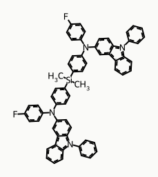 C[Si](C)(c1ccc(N(c2ccc(F)cc2)c2ccc3c(c2)c2ccccc2n3-c2ccccc2)cc1)c1ccc(N(c2ccc(F)cc2)c2ccc3c(c2)c2ccccc2n3-c2ccccc2)cc1